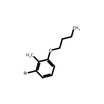 CCCCOc1cccc(Br)c1C